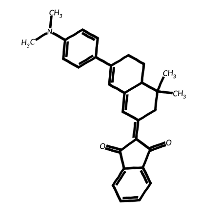 CN(C)c1ccc(C2=CC3=CC(=C4C(=O)c5ccccc5C4=O)CC(C)(C)C3CC2)cc1